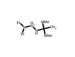 CCN(CC)[SiH2]NC(C)(NC)NC